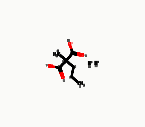 CCCC(C)(C(=O)[O-])C(=O)[O-].[K+].[K+]